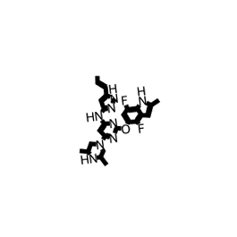 C/C=C/c1cc(Nc2cc(N3CC(C)NC(C)C3)nc(Oc3cc(F)c4[nH]c(C)cc4c3F)n2)n[nH]1